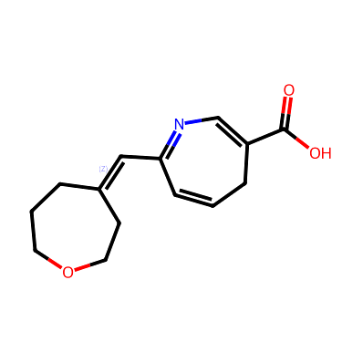 O=C(O)C1=CN=C(/C=C2/CCCOCC2)C=CC1